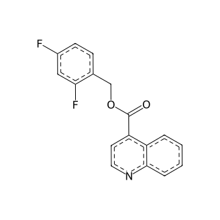 O=C(OCc1ccc(F)cc1F)c1ccnc2ccccc12